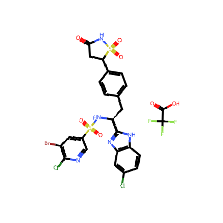 O=C(O)C(F)(F)F.O=C1CC(c2ccc(C[C@H](NS(=O)(=O)c3cnc(Cl)c(Br)c3)c3nc4cc(Cl)ccc4[nH]3)cc2)S(=O)(=O)N1